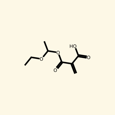 C=C(C(=O)O)C(=O)OC(C)OCC